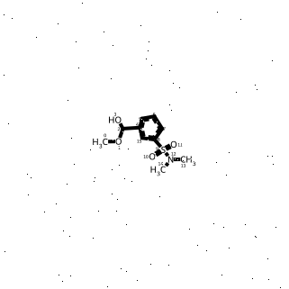 COC(O)c1cccc(S(=O)(=O)N(C)C)c1